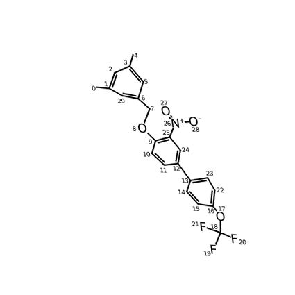 Cc1cc(C)cc(COc2ccc(-c3ccc(OC(F)(F)F)cc3)cc2[N+](=O)[O-])c1